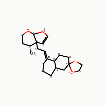 C[C@@H]1CCOC2OC=CC21C/C=C1\CCCC2CC3(CCC12)OCCO3